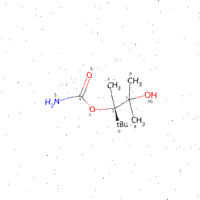 CC(C)(C)[C@](C)(OC(N)=O)C(C)(C)O